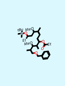 CCC(=O)OC(CCC(C)C(CC(CC)O[Si](C)(C)C(C)(C)C)OC)C(C)C(OC)C(C)COCc1ccccc1